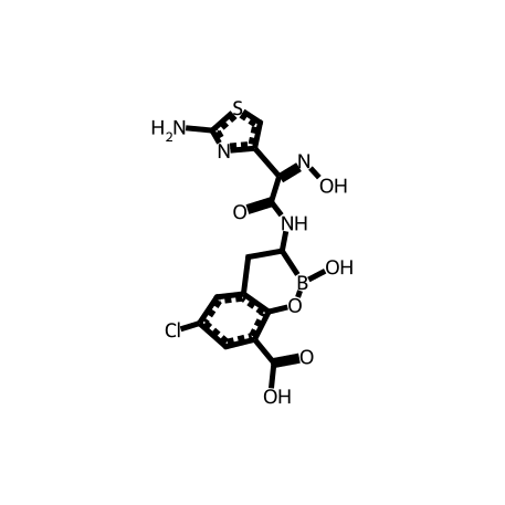 Nc1nc(C(=NO)C(=O)NC2Cc3cc(Cl)cc(C(=O)O)c3OB2O)cs1